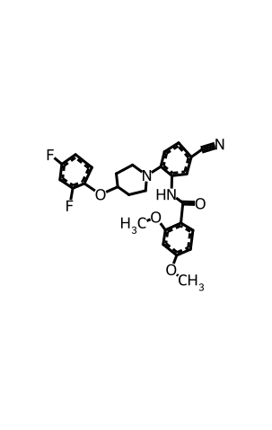 COc1ccc(C(=O)Nc2cc(C#N)ccc2N2CCC(Oc3ccc(F)cc3F)CC2)c(OC)c1